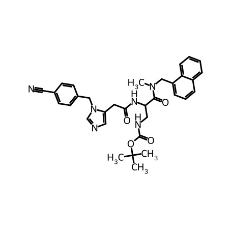 CN(Cc1cccc2ccccc12)C(=O)C(CNC(=O)OC(C)(C)C)NC(=O)Cc1cncn1Cc1ccc(C#N)cc1